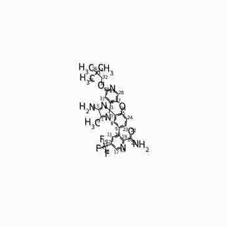 CC1=NC2(N=C1N)c1cc(-c3cc(C(F)(F)F)cnc3C(N)=O)ccc1Oc1cnc(OCC(C)(C)C)cc12